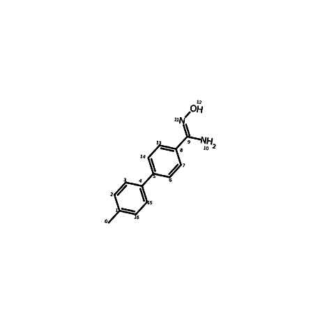 Cc1ccc(-c2ccc(C(N)=NO)cc2)cc1